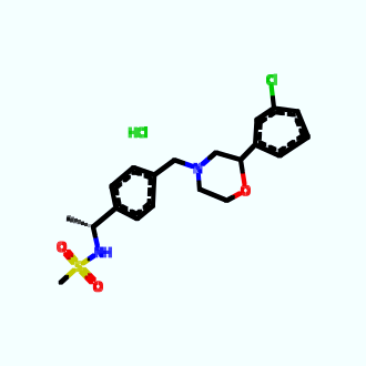 C[C@@H](NS(C)(=O)=O)c1ccc(CN2CCOC(c3cccc(Cl)c3)C2)cc1.Cl